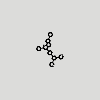 c1ccc(-c2ccc3c(ccc4c(-c5ccc(-c6cc(-c7cccnc7)cc(-c7cccnc7)c6)cc5)cc(-c5ccccc5)nc43)c2)cc1